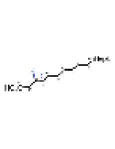 CCCCCCCCCCCCCCC(N)CC(=O)O